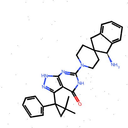 CC1(C)CC1(c1ccccc1)c1n[nH]c2nc(N3CCC4(CC3)Cc3ccccc3[C@H]4N)[nH]c(=O)c12